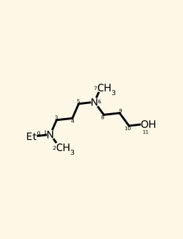 CCN(C)CCCN(C)CCCO